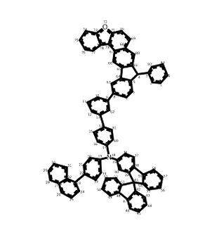 c1ccc(C2c3ccc(-c4cccc(-c5ccc(N(c6ccc(-c7cccc8ccccc78)cc6)c6ccc7c(c6)C6(c8ccccc8-c8ccccc86)c6ccccc6-7)cc5)c4)cc3-c3cc4c(ccc5oc6ccccc6c54)cc32)cc1